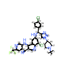 CC(C)(C)N1CCC(n2cc(C(Nc3cc(Cl)c4ncc(C#N)c(Nc5ccc(C(F)(F)F)nc5)c4c3)c3ccc(Cl)cc3)nn2)CC1